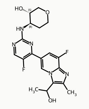 Cc1nc2c(F)cc(-c3nc(N[C@@H]4CCOC[C@H]4O)ncc3F)cn2c1C(C)O